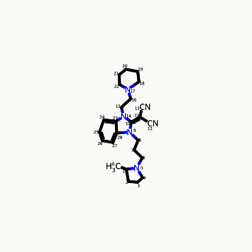 CC1CCCN1CCCN1C(=C(C#N)C#N)N(CCN2CCCCC2)c2ccccc21